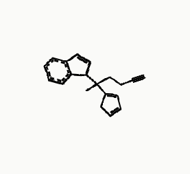 C#CCCC(C)(C1=CC=CC1)C1C=Cc2ccccc21